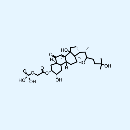 C[C@H](C(O)CCC(C)(C)O)[C@H]1CC[C@@]2(O)C3=CC(=O)[C@@H]4C[C@@H](OC(=O)COP(=O)(O)O)[C@@H](O)C[C@]4(C)[C@H]3CC[C@]12C